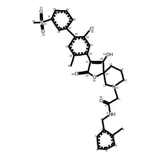 Cc1ccccc1CNC(=O)CN1CCCC2(C1)OC(=O)C(c1cc(Cl)c(-c3cccc(S(C)(=O)=O)c3)cc1C)=C2O